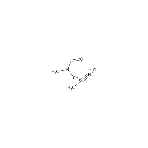 CC#N.CN(C)C=O.O